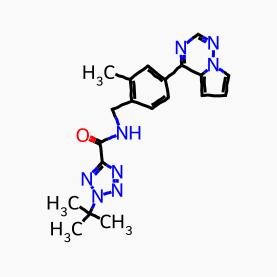 Cc1cc(-c2ncnn3cccc23)ccc1CNC(=O)c1nnn(C(C)(C)C)n1